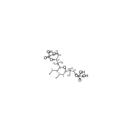 CCCC(OC(CCC)C(C)(C)C(CC)OP(=O)(O)O)C(C)(C)COP(=O)(O)O